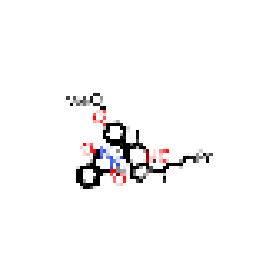 COCOC1CC[C@]2(C)[C@H]3CC[C@]4(C)[C@@H]([C@H](C)C(O)CCC(C)C)CC[C@H]4C34C=CC2(C1)n1c(=O)c2ccccc2c(=O)n14